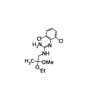 CCOC(C)(CN/C(N)=N/c1c(Cl)cccc1Cl)OC